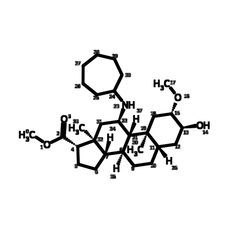 COC(=O)[C@H]1CC[C@H]2[C@@H]3CC[C@H]4C[C@H](O)[C@@H](OC)C[C@]4(C)[C@H]3[C@H](NC3CCCCCC3)C[C@]12C